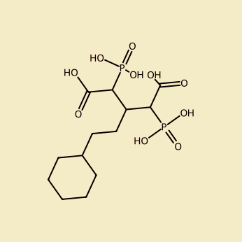 O=C(O)C(C(CCC1CCCCC1)C(C(=O)O)P(=O)(O)O)P(=O)(O)O